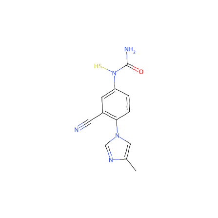 Cc1cn(-c2ccc(N(S)C(N)=O)cc2C#N)cn1